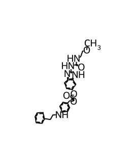 COCCNC(=O)Nc1nc2ccc(OS(=O)(=O)c3ccc(NCCc4ccccc4)cc3)cc2[nH]1